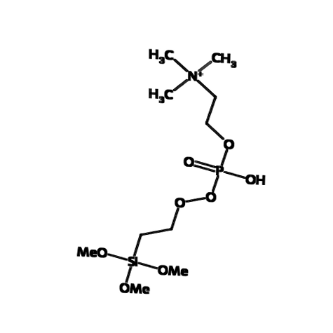 CO[Si](CCOOP(=O)(O)OCC[N+](C)(C)C)(OC)OC